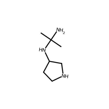 CC(C)(N)NC1CCNC1